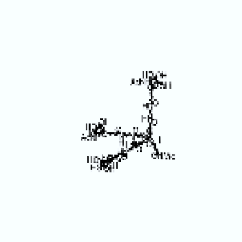 CNC(=O)CCCC(=O)NC(COCCC(=O)NCCCNC(=O)CCCCO[C@@H]1OC(CO)[C@H](O)C(O)[C@@H]1NC(C)=O)(COCCC(=O)NCCCNC(=O)CCCCO[C@@H]1OC(CO)[C@H](O)C(O)[C@@H]1NC(C)=O)COCCC(=O)NCCCNC(=O)CCCCO[C@H](O)[C@@]1(NC(C)=O)C(O)[C@@H](O)C1CO